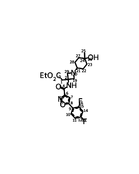 CCOC(=O)CC1(NC(=O)c2cc(-c3ccc(F)cc3F)on2)CN(C2CCC(C)(O)CC2)C1